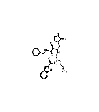 C=CC1CC(CNC(CC2CCNC2=O)C(=O)C(=O)NCc2ccccc2)N(C(=O)c2cc3ccccc3[nH]2)C1